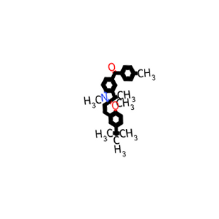 Cc1ccc(C(=O)c2ccc3c(c2)C(C)(C)C2(C=Cc4cc(C(C)(C)C)ccc4O2)N3C)cc1